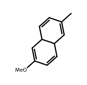 COC1=CC2C=CC(C)=CC2C=C1